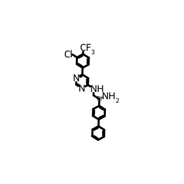 N[C@@H](CNc1cc(-c2ccc(C(F)(F)F)c(Cl)c2)ncn1)c1ccc(-c2ccccc2)cc1